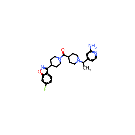 CC(c1ccnc(N)c1)N1CCC(C(=O)N2CCC(c3noc4cc(F)ccc34)CC2)CC1